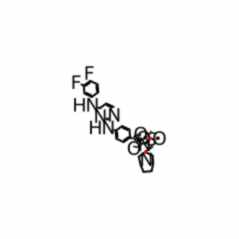 CN(C1CC2CCC(C1)N2CCS(C)(=O)=O)S(=O)(=O)c1ccc(Nc2nccc(Nc3ccc(F)c(F)c3)n2)cc1